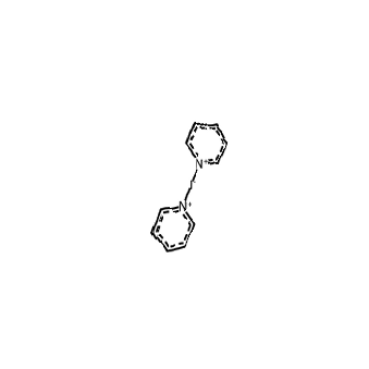 c1cc[n+]([I-][n+]2ccccc2)cc1